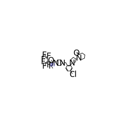 C/P=C(/OC(C(F)(F)F)C(F)(F)F)N1CCN(Cc2ccc(Cl)cc2N2CCC(N3CCCCC3=O)C2)CC1